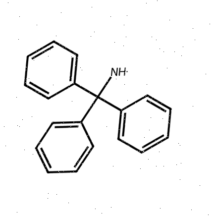 [NH]C(c1ccccc1)(c1ccccc1)c1ccccc1